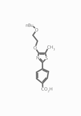 CCCCOCCOc1nc(-c2ccc(C(=O)O)cc2)sc1C